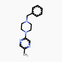 Cc1cnc(N2CCN(Cc3ccccc3)CC2)cn1